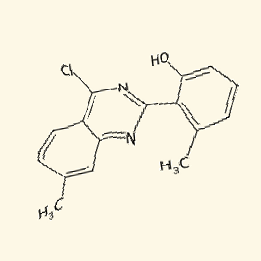 Cc1ccc2c(Cl)nc(-c3c(C)cccc3O)nc2c1